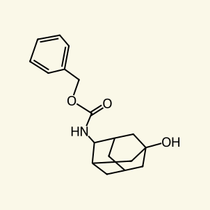 O=C(NC1C2CC3CC1CC(O)(C3)C2)OCc1ccccc1